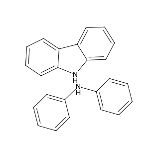 c1ccc(Nc2ccccc2)cc1.c1ccc2c(c1)[nH]c1ccccc12